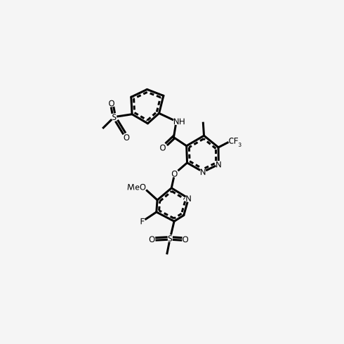 COc1c(Oc2nnc(C(F)(F)F)c(C)c2C(=O)Nc2cccc(S(C)(=O)=O)c2)ncc(S(C)(=O)=O)c1F